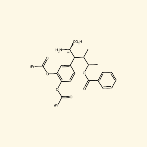 CC(C)C(=O)Oc1ccc(C(C(C)C(C)OC(=O)c2ccccc2)[C@@H](N)C(=O)O)cc1OC(=O)C(C)C